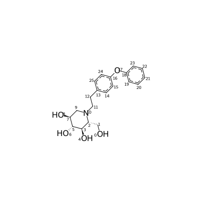 OC[C@@H]1[C@@H](O)[C@H](O)[C@@H](O)CN1CCc1ccc(Oc2ccccc2)cc1